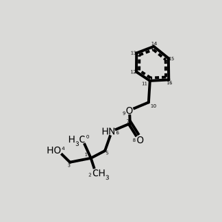 CC(C)(CO)CNC(=O)OCc1ccccc1